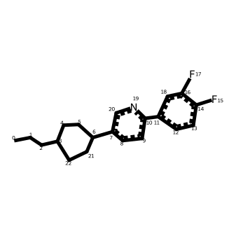 CCCC1CCC(c2ccc(-c3ccc(F)c(F)c3)nc2)CC1